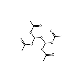 CC(=O)OC(OC(C)=O)OC(OC(C)=O)OC(C)=O